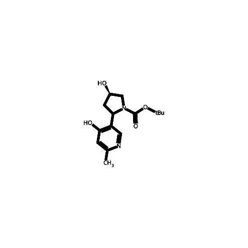 Cc1cc(O)c(C2C[C@@H](O)CN2C(=O)OC(C)(C)C)cn1